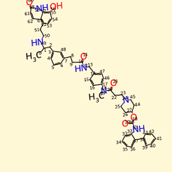 CC(Cc1cccc(CCC(=O)NCc2ccc(N(C)C(=O)CCN3CCC(OC(=O)Nc4ccccc4-c4ccccc4)CC3)cc2)c1)NCCc1ccc(O)c2[nH]c(=O)ccc12